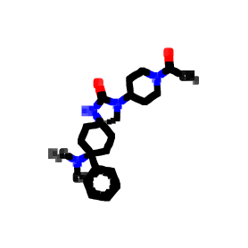 CC(=O)N1CCC(N2C[C@]3(CC[C@](c4ccccc4)(N(C)C)CC3)NC2=O)CC1